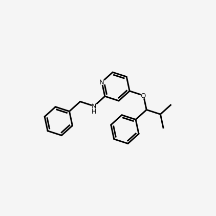 CC(C)C(Oc1ccnc(NCc2ccccc2)c1)c1ccccc1